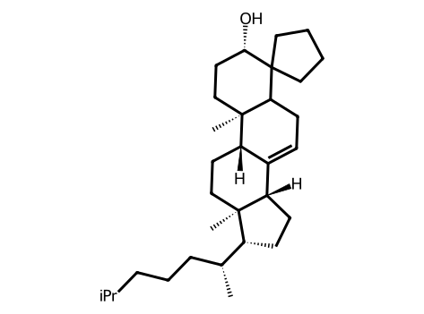 CC(C)CCC[C@@H](C)[C@H]1CC[C@H]2C3=CCC4C5(CCCC5)[C@@H](O)CC[C@]4(C)[C@H]3CC[C@]12C